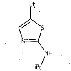 CCc1cnc(NC(C)C)s1